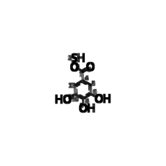 O=C(OS)c1cc(O)c(O)c(O)c1